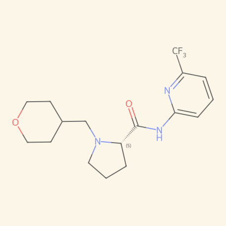 O=C(Nc1cccc(C(F)(F)F)n1)[C@@H]1CCCN1CC1CCOCC1